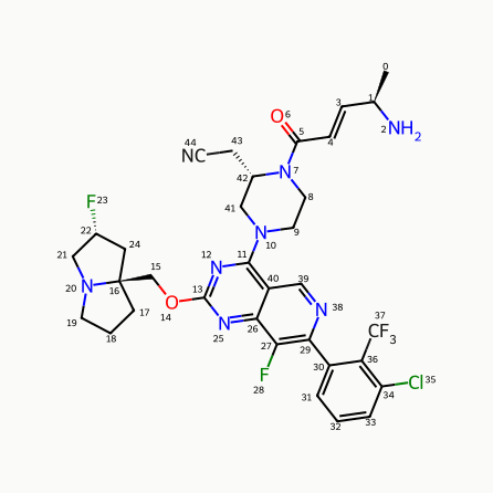 C[C@@H](N)/C=C/C(=O)N1CCN(c2nc(OC[C@@]34CCCN3C[C@H](F)C4)nc3c(F)c(-c4cccc(Cl)c4C(F)(F)F)ncc23)C[C@@H]1CC#N